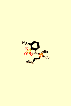 CCCCCCCCCCCC[P+](CCCC)(CCCC)CCCC.Cc1ccccc1S(=O)(=O)[O-]